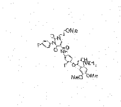 C=Nc1cc(OC)c(OC)cc1/C(=C\C)Oc1ccc(NC(=O)c2cn(CCCOC)c(=O)n(-c3ccc(F)cc3)c2=O)cc1F